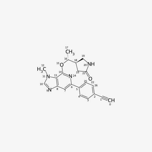 C#Cc1ccc(-c2cc3ncn(C)c3c(O[C@H](C)[C@H]3CNC(=O)C3)n2)cc1